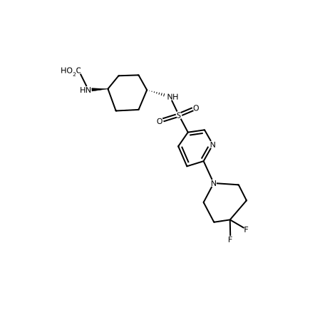 O=C(O)N[C@H]1CC[C@H](NS(=O)(=O)c2ccc(N3CCC(F)(F)CC3)nc2)CC1